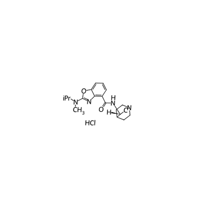 CC(C)N(C)c1nc2c(C(=O)N[C@@H]3CN4CCC3CC4)cccc2o1.Cl